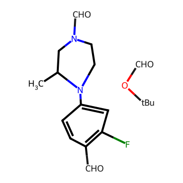 CC(C)(C)OC=O.CC1CN(C=O)CCN1c1ccc(C=O)c(F)c1